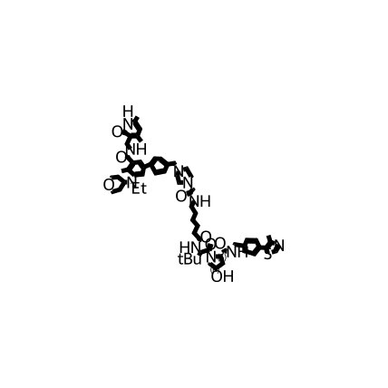 CCN(c1cc(-c2ccc(CN3CCN(CC(=O)NCCCCCC(=O)NC(C(=O)N4C[C@H](O)C[C@H]4C(=O)NCc4ccc(-c5scnc5C)cc4)C(C)(C)C)CC3)cc2)cc(C(=O)NCc2c(C)cc(C)[nH]c2=O)c1C)C1CCOCC1